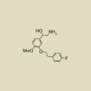 COc1ccc(C(O)CN)cc1OCCc1ccc(F)cc1